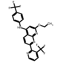 CCOc1cc(Nc2ccc(C(F)(F)F)cc2)c2ccc(-c3ncccc3C(F)(F)F)nc2n1